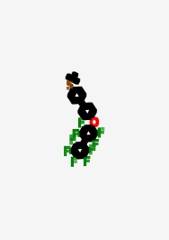 CC(C)(C)Sc1ccc(-c2ccc(Oc3c(F)c(F)c(-c4c(F)c(F)c(F)c(F)c4F)c(F)c3F)cc2)cc1